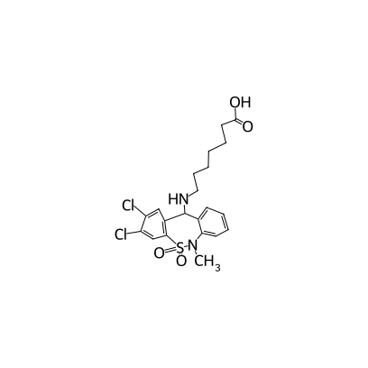 CN1c2ccccc2C(NCCCCCCC(=O)O)c2cc(Cl)c(Cl)cc2S1(=O)=O